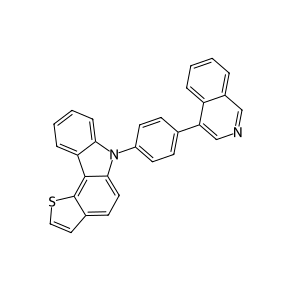 c1ccc2c(-c3ccc(-n4c5ccccc5c5c6sccc6ccc54)cc3)cncc2c1